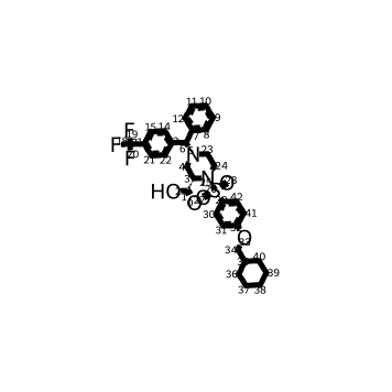 O=C(O)[C@@H]1CN(C(c2ccccc2)c2ccc(C(F)(F)F)cc2)CCN1S(=O)(=O)c1ccc(OCC2CCCCC2)cc1